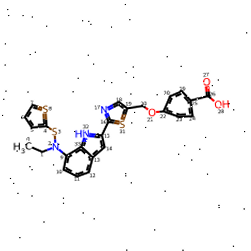 CCN(Sc1cccs1)c1cccc2cc(-c3ncc(COc4ccc(C(=O)O)cc4)s3)[nH]c12